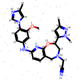 COc1cc(Nc2ccc3c(n2)OC(c2cc(C)nn2C)CN(CC#N)C3)ccc1-n1cnc(C)c1